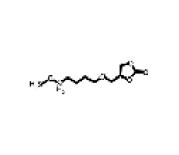 O=C1OCC(COCCCC[SiH2]O[SiH3])O1